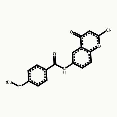 CC(C)(C)Oc1ccc(C(=O)Nc2ccc3oc(C#N)cc(=O)c3c2)cc1